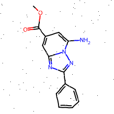 COC(=O)c1cc(N)n2nc(-c3ccccc3)nc2c1